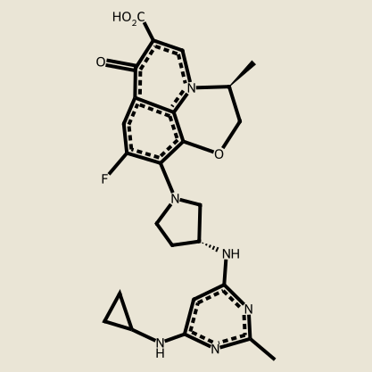 Cc1nc(NC2CC2)cc(N[C@@H]2CCN(c3c(F)cc4c(=O)c(C(=O)O)cn5c4c3OC[C@@H]5C)C2)n1